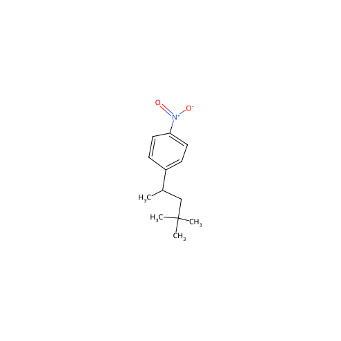 CC(CC(C)(C)C)c1ccc([N+](=O)[O-])cc1